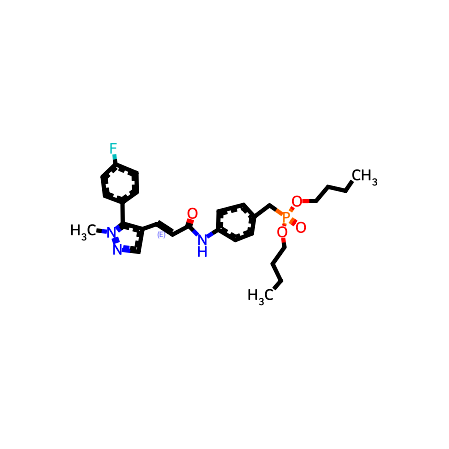 CCCCOP(=O)(Cc1ccc(NC(=O)/C=C/c2cnn(C)c2-c2ccc(F)cc2)cc1)OCCCC